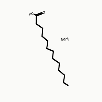 CCCCCCCCCCCCC(=O)O.[MgH2]